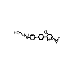 CN(F)N1c2cc(Cl)c(-c3ccc(-c4ccc(SNCCO)cc4)cc3)nc21